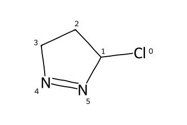 ClC1CCN=N1